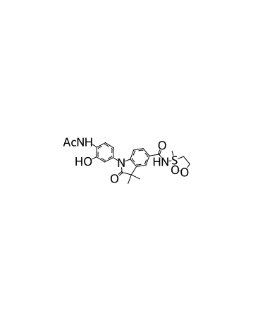 CC(=O)Nc1ccc(N2C(=O)C(C)(C)c3cc(C(=O)NS4(C)CCOO4)ccc32)cc1O